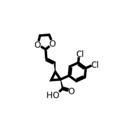 O=C(O)[C@@]1(c2ccc(Cl)c(Cl)c2)C[C@H]1/C=C/C1OCCO1